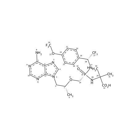 C[C@H](Cn1cnc2c(N)ncnc21)OC[P@](=O)(N[C@H](c1ccc(OC(F)(F)F)cc1)C(F)(F)F)NC(C)(C)C(=O)O